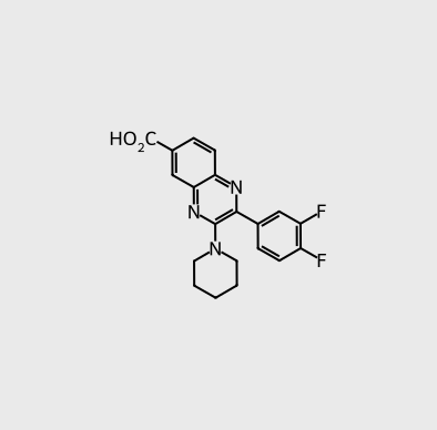 O=C(O)c1ccc2nc(-c3ccc(F)c(F)c3)c(N3CCCCC3)nc2c1